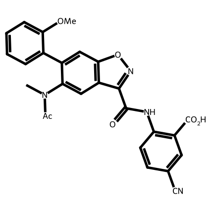 COc1ccccc1-c1cc2onc(C(=O)Nc3ccc(C#N)cc3C(=O)O)c2cc1N(C)C(C)=O